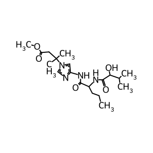 CCCC(NC(=O)C(O)C(C)C)C(=O)Nc1cn(C(C)(C)CC(=O)OC)cn1